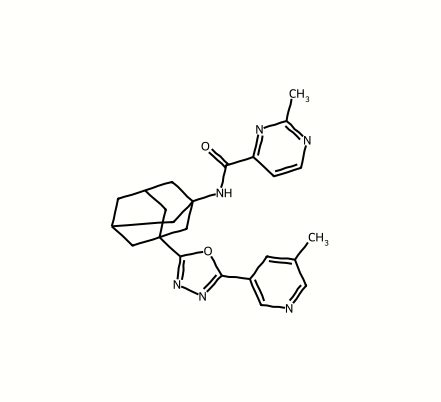 Cc1cncc(-c2nnc(C34CC5CC(CC(NC(=O)c6ccnc(C)n6)(C5)C3)C4)o2)c1